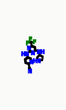 N#Cc1ccc(Nc2nc(NC3CCNC3)cc(C(F)(F)F)n2)cn1